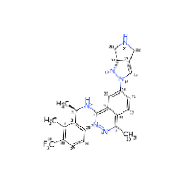 Cc1c([C@@H](C)Nc2nnc(C)c3ccc(-n4cc5c(n4)CNC5)cc23)cccc1C(F)(F)F